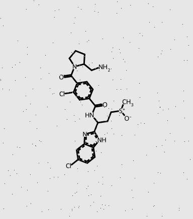 C[S+]([O-])CCC(NC(=O)c1ccc(C(=O)N2CCCC2CN)c(Cl)c1)c1nc2cc(Cl)ccc2[nH]1